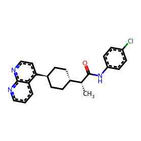 C[C@@H](C(=O)Nc1ccc(Cl)cc1)[C@H]1CC[C@H](c2ccnc3ncccc32)CC1